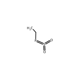 CCP=S(=O)=O